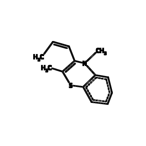 C/C=C\C1=C(C)Sc2ccccc2N1C